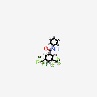 O=C(Nc1ccccc1)c1cc(C(F)(F)F)c(Cl)c(C(F)(F)F)c1